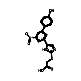 O=C(O)CSc1nnc(-c2cc(-c3ccc(O)cc3)cc([N+](=O)[O-])c2)[nH]1